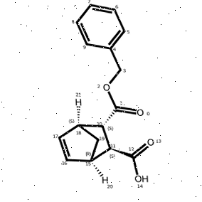 O=C(OCc1ccccc1)[C@@H]1[C@@H](C(=O)O)[C@H]2C=C[C@@H]1C2